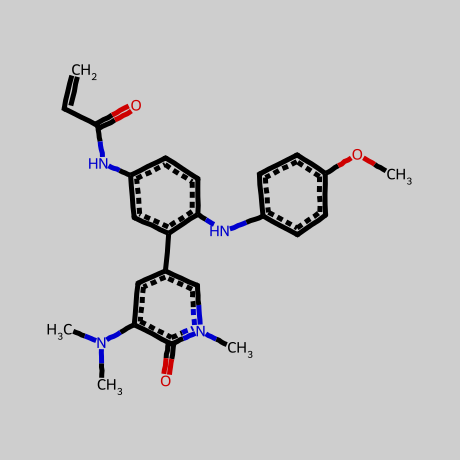 C=CC(=O)Nc1ccc(Nc2ccc(OC)cc2)c(-c2cc(N(C)C)c(=O)n(C)c2)c1